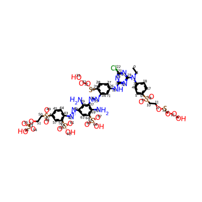 CCN(c1ccc(S(=O)(=O)CCOSOOO)cc1)c1nc(Cl)nc(Nc2ccc(SOOO)c(/N=N/c3c(N)c(/N=N/c4ccc(S(=O)(=O)CCOS(=O)(=O)O)cc4S(=O)(=O)O)cc(S(=O)(=O)O)c3N)c2)n1